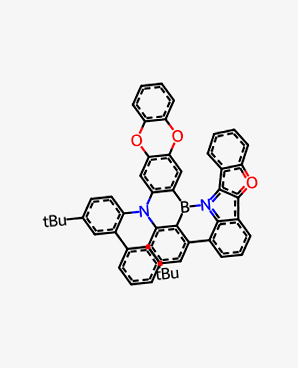 CC(C)(C)c1ccc(N2c3cc4c(cc3B3c5c(cc(C(C)(C)C)cc52)-c2cccc5c6oc7ccccc7c6n3c25)Oc2ccccc2O4)c(-c2ccccc2)c1